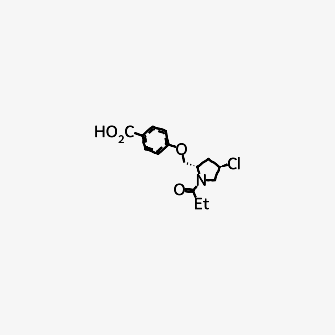 CCC(=O)N1C[C@H](Cl)C[C@H]1COc1ccc(C(=O)O)cc1